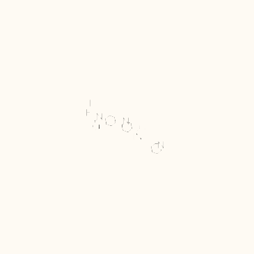 CC(=O)N(CC(F)F)c1ccc(-c2ccc(C(=O)NCCc3ccc(C)nc3)cn2)cc1F